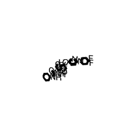 O=C(NC1CCCCC1)N[C@H]1CO[C@H]2[C@@H]1OC[C@@H]2Oc1ccc(N2CCC(F)(F)CC2)nc1